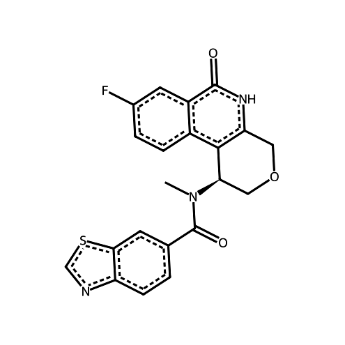 CN(C(=O)c1ccc2ncsc2c1)[C@@H]1COCc2[nH]c(=O)c3cc(F)ccc3c21